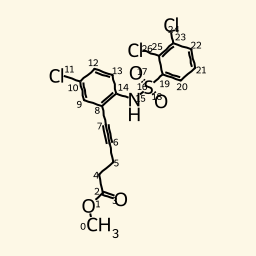 COC(=O)CCC#Cc1cc(Cl)ccc1NS(=O)(=O)c1cccc(Cl)c1Cl